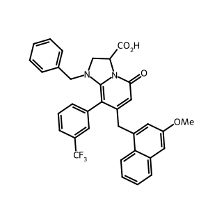 COc1cc(Cc2cc(=O)n3c(c2-c2cccc(C(F)(F)F)c2)N(Cc2ccccc2)CC3C(=O)O)c2ccccc2c1